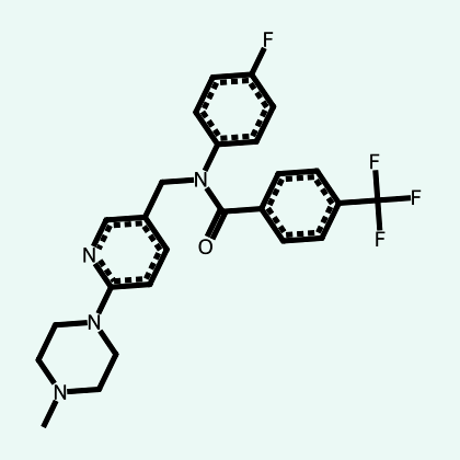 CN1CCN(c2ccc(CN(C(=O)c3ccc(C(F)(F)F)cc3)c3ccc(F)cc3)cn2)CC1